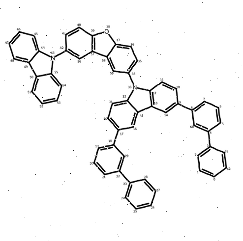 c1ccc(-c2cccc(-c3ccc4c(c3)c3cc(-c5cccc(-c6ccccc6)c5)ccc3n4-c3ccc4oc5ccc(-n6c7ccccc7c7ccccc76)cc5c4c3)c2)cc1